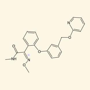 CNC(=O)/C(=N\OC)c1ccccc1Oc1cccc(COc2ccccn2)c1